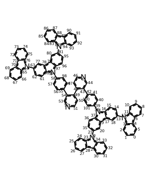 c1ccc2c(c1)c1ccccc1n2-c1ccc2c(c1)c1cc(-n3c4ccccc4c4ccccc43)ccc1n2-c1ccc(-c2cnccc2-c2ccncc2-c2ccc(-n3c4ccc(-n5c6ccccc6c6ccccc65)cc4c4cc(-n5c6ccccc6c6ccccc65)ccc43)cc2)cc1